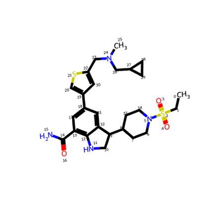 CCS(=O)(=O)N1CCC(C2CNc3c(C(N)=O)cc(-c4csc(CN(C)CC5CC5)c4)cc32)CC1